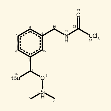 C[SiH](C)OC(c1cccc(CNC(=O)C(Cl)(Cl)Cl)c1)C(C)(C)C